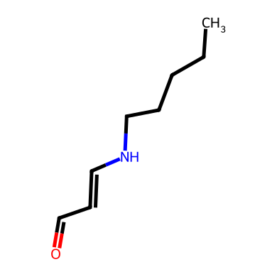 CCCCCNC=CC=O